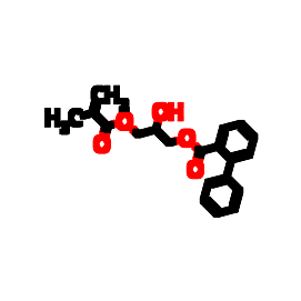 C=C(C)C(=O)OCC(O)COC(=O)c1ccccc1-c1ccccc1